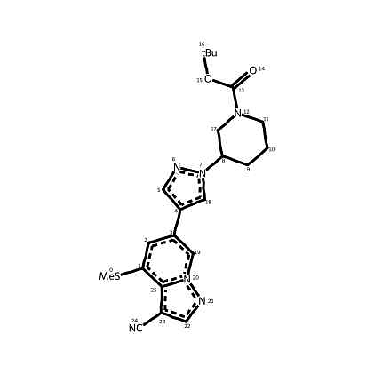 CSc1cc(-c2cnn(C3CCCN(C(=O)OC(C)(C)C)C3)c2)cn2ncc(C#N)c12